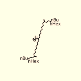 C=C(CCCCCCCCC(CCCCCCCCC(=C)CCC(CCCC)CCCCCC)N(C)N(C)C)CCC(CCCC)CCCCCC